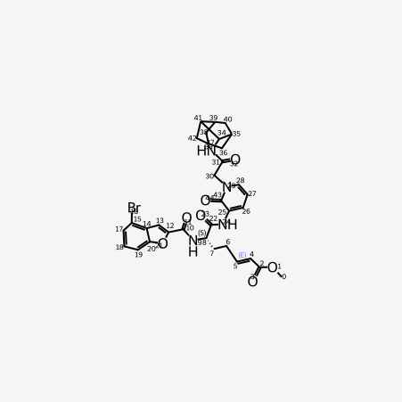 COC(=O)/C=C/CC[C@H](NC(=O)c1cc2c(Br)cccc2o1)C(=O)Nc1cccn(CC(=O)NC2C3CC4CC(C3)C2C4)c1=O